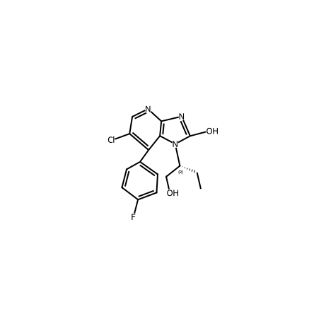 CC[C@H](CO)n1c(O)nc2ncc(Cl)c(-c3ccc(F)cc3)c21